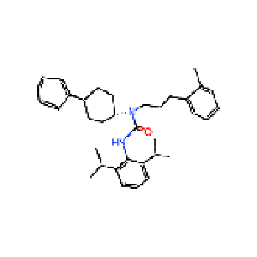 Cc1ccccc1CCCN(C(=O)Nc1c(C(C)C)cccc1C(C)C)[C@H]1CC[C@H](c2ccccc2)CC1